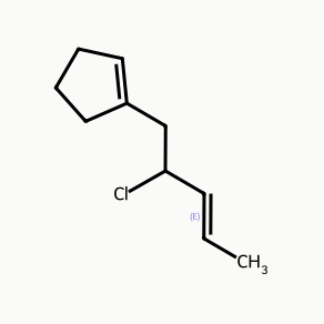 C/C=C/C(Cl)CC1=CCCC1